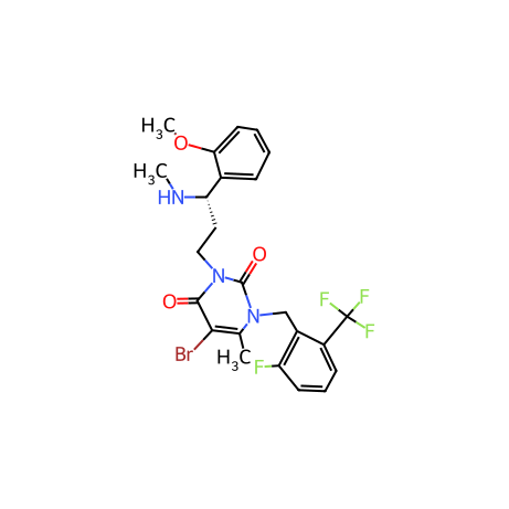 CN[C@@H](CCn1c(=O)c(Br)c(C)n(Cc2c(F)cccc2C(F)(F)F)c1=O)c1ccccc1OC